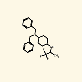 CC(NC1CCC(N(Cc2ccccc2)Cc2ccccc2)CC1)C(F)(F)F